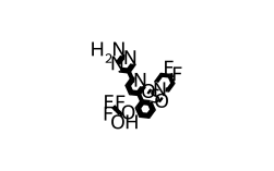 Nc1ncc(-c2ccc(-c3ccccc3S(=O)(=O)N3CCC(F)(F)CC3)cn2)cn1.O=C(O)C(F)(F)F